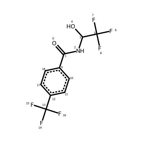 O=C(NC(O)C(F)(F)F)c1ccc(C(F)(F)F)cc1